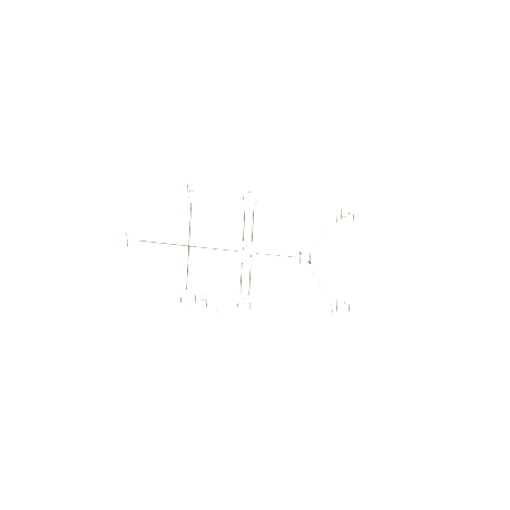 CC(C)N(C(C)C)S(=O)(=O)C(C)(F)F